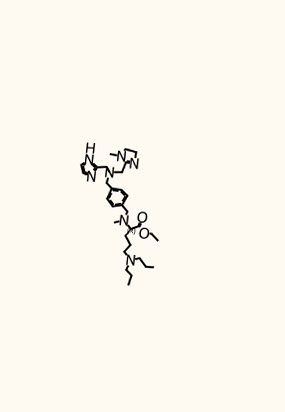 CCCN(CCC)CCC[C@H](C(=O)OCC)N(C)Cc1ccc(CN(CC2=NCCN2C)Cc2ncc[nH]2)cc1